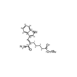 CC(C)(C)OC(=O)CCCC/C(=C\c1c[nH]c2ccccc12)C(N)=O